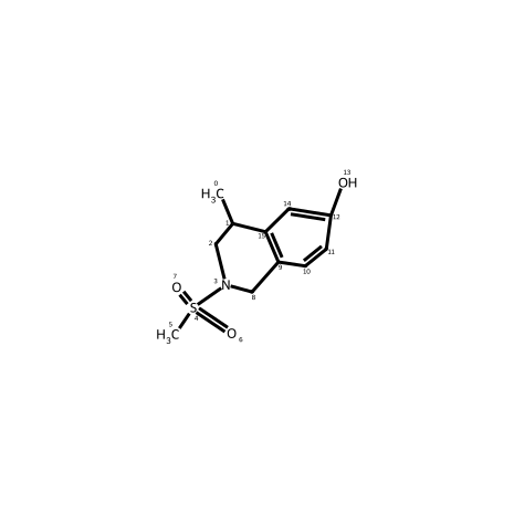 CC1CN(S(C)(=O)=O)Cc2ccc(O)cc21